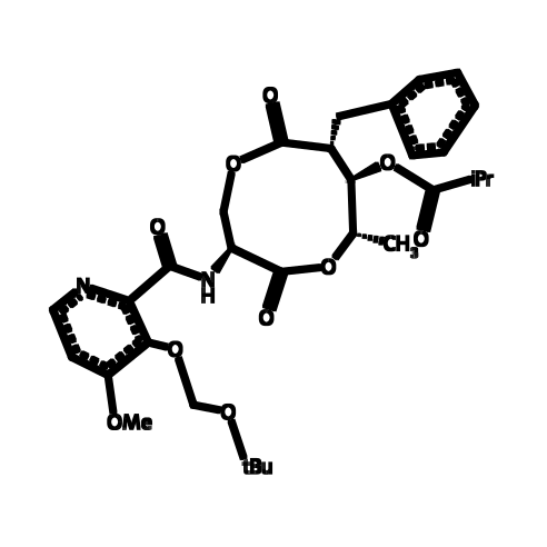 COc1ccnc(C(=O)N[C@H]2COC(=O)[C@H](Cc3ccccc3)[C@@H](OC(=O)C(C)C)[C@H](C)OC2=O)c1OCOC(C)(C)C